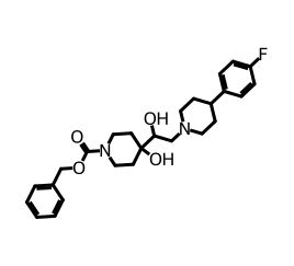 O=C(OCc1ccccc1)N1CCC(O)(C(O)CN2CCC(c3ccc(F)cc3)CC2)CC1